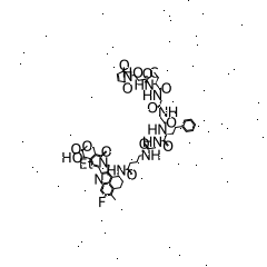 CC[C@@]1(O)C(=O)OCc2c1cc1n(c2=O)Cc2c-1nc1cc(F)c(C)c3c1c2[C@@H](NC(=O)CCCNC(=O)CNC(=O)[C@H](CCc1ccccc1)NC(=O)CNC(=O)CNC(=O)[C@H](CC(=O)O)NC(=O)CCN1C(=O)C=CC1=O)CC3